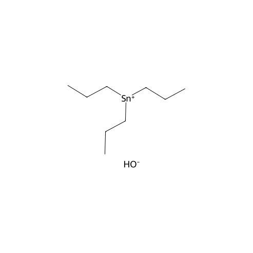 CC[CH2][Sn+]([CH2]CC)[CH2]CC.[OH-]